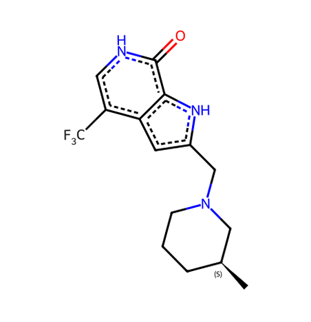 C[C@H]1CCCN(Cc2cc3c(C(F)(F)F)c[nH]c(=O)c3[nH]2)C1